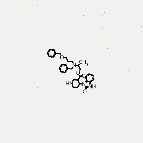 CC(COC(=O)C1CNCCC1n1c(=O)[nH]c2ccccc21)N(CCCOCc1ccccc1)Cc1ccccc1